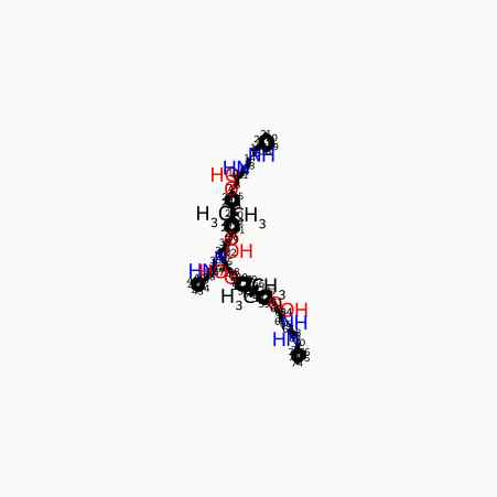 CC(C)(c1ccc(OCC(O)CNCCNCc2cc#ccc2)cc1)c1ccc(OCC(O)CN(CCNCc2ccccc2)CC(O)COc2ccc(C(C)(C)c3ccc(OCC(O)CNCCNCc4ccccc4)cc3)cc2)cc1